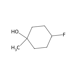 CC1(O)CC[C](F)CC1